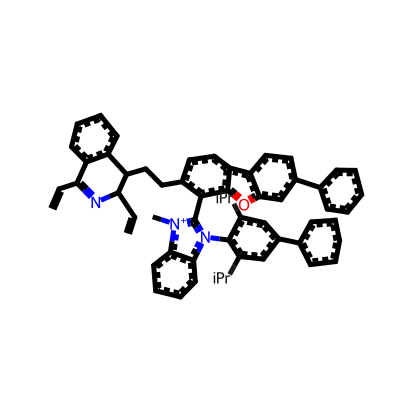 C=CC1=NC(C=C)C(CCc2ccc3c(oc4cc(-c5ccccc5)ccc43)c2-c2n(-c3c(C(C)C)cc(-c4ccccc4)cc3C(C)C)c3ccccc3[n+]2C)c2ccccc21